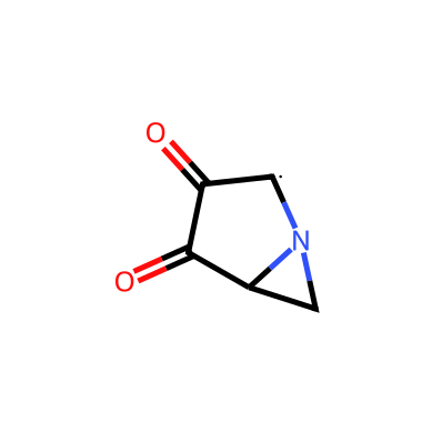 O=C1[CH]N2CC2C1=O